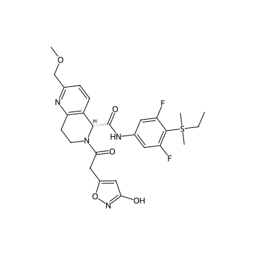 CCS(C)(C)c1c(F)cc(NC(=O)[C@H]2c3ccc(COC)nc3CCN2C(=O)Cc2cc(O)no2)cc1F